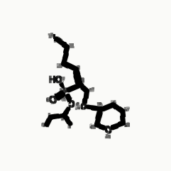 CCC(C)O[P@@](=O)(O)C(=CCCI)COC1CCCOC1